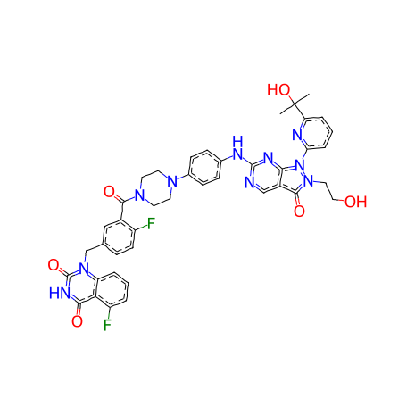 CC(C)(O)c1cccc(-n2c3nc(Nc4ccc(N5CCN(C(=O)c6cc(Cn7c(=O)[nH]c(=O)c8c(F)cccc87)ccc6F)CC5)cc4)ncc3c(=O)n2CCO)n1